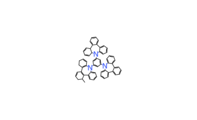 CC1CC=CC2=C1c1ccccc1N(c1cc(N3c4ccccc4-c4ccccc4-c4ccccc43)cc(N3c4ccccc4-c4ccccc4C4C=CC=CC43)c1)C1=C2CCC=C1